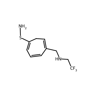 NSC1=CC=CC(CNCC(F)(F)F)=CC1